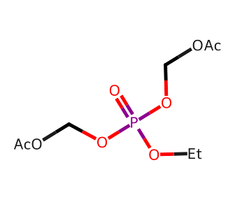 CCOP(=O)(OCOC(C)=O)OCOC(C)=O